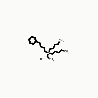 CCCCC[N+](CC)(CCCCC)CCCCc1ccccc1.[Br-]